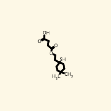 CC1(C)CCC(S)(CCOC(=O)CCC(=O)O)CC1